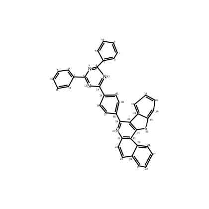 c1ccc(-c2nc(-c3ccccc3)nc(-c3ccc(-c4nc5ccc6ccccc6c5c5sc6ccccc6c45)cc3)n2)cc1